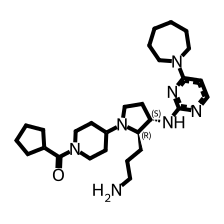 NCCC[C@@H]1[C@@H](Nc2nccc(N3CCCCCC3)n2)CCN1C1CCN(C(=O)C2CCCC2)CC1